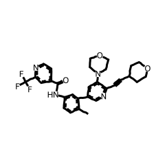 Cc1ccc(NC(=O)c2ccnc(C(F)(F)F)c2)cc1-c1cnc(C#CC2CCOCC2)c(N2CCOCC2)c1